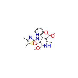 COC(=O)C1=C(C)NC(C)C(Nc2nc(C)c(C)s2)(C(=O)OC)C1c1ccccc1